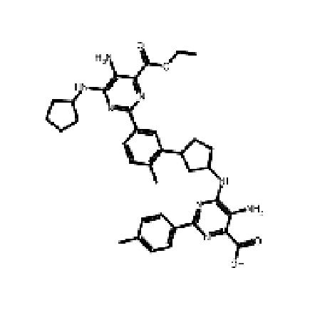 CCOC(=O)c1nc(-c2ccc(C)c(C3CCC(Nc4nc(-c5ccc(C)cc5)nc(C(=O)O)c4N)C3)c2)nc(NC2CCCC2)c1N